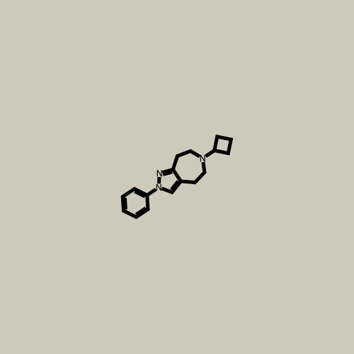 c1ccc(-n2cc3c(n2)CCN(C2CCC2)CC3)cc1